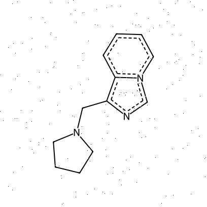 c1ccn2cnc(CN3CCCC3)c2c1